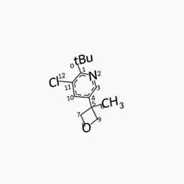 CC(C)(C)c1ncc(C2(C)COC2)cc1Cl